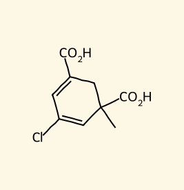 CC1(C(=O)O)C=C(Cl)C=C(C(=O)O)C1